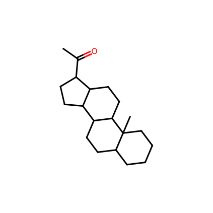 CC(=O)C1CCC2C1CCC1C2CCC2CCCCC21C